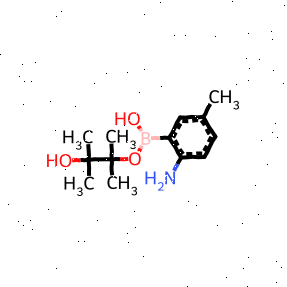 Cc1ccc(N)c(B(O)OC(C)(C)C(C)(C)O)c1